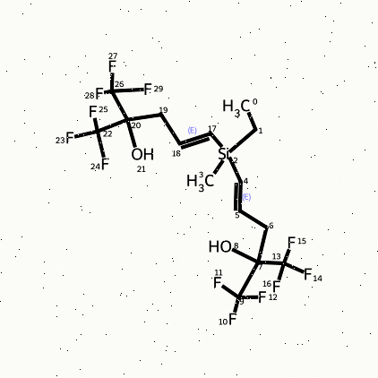 CC[Si](C)(/C=C/CC(O)(C(F)(F)F)C(F)(F)F)/C=C/CC(O)(C(F)(F)F)C(F)(F)F